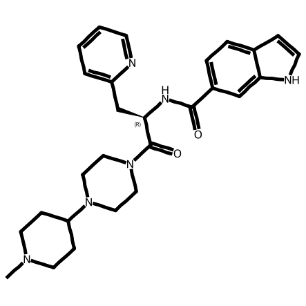 CN1CCC(N2CCN(C(=O)[C@@H](Cc3ccccn3)NC(=O)c3ccc4cc[nH]c4c3)CC2)CC1